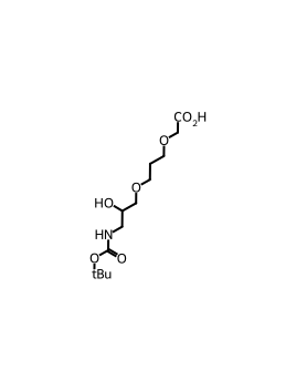 CC(C)(C)OC(=O)NCC(O)COCCCOCC(=O)O